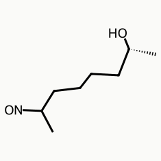 CC(CCCC[C@@H](C)O)N=O